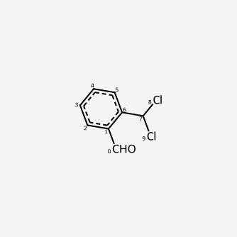 O=Cc1ccccc1C(Cl)Cl